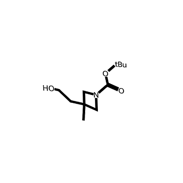 CC1(CCO)CN(C(=O)OC(C)(C)C)C1